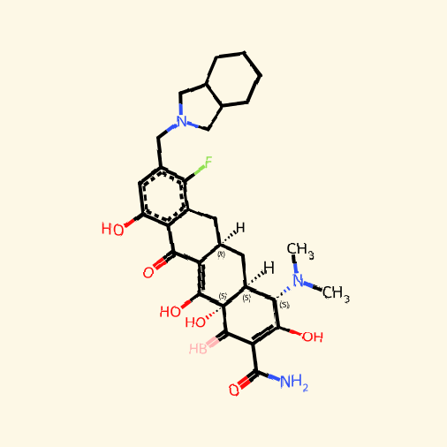 B=C1C(C(N)=O)=C(O)[C@@H](N(C)C)[C@@H]2C[C@@H]3Cc4c(F)c(CN5CC6CCCCC6C5)cc(O)c4C(=O)C3=C(O)[C@]12O